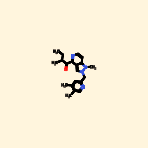 CCC(C)C(=O)C1=NC=CC2C1=CN(Cc1cc(C)c(C)cn1)N2C